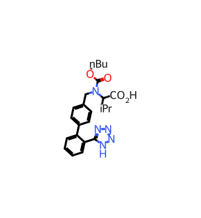 CCCCOC(=O)N(Cc1ccc(-c2ccccc2-c2nnn[nH]2)cc1)C(C(=O)O)C(C)C